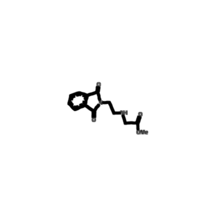 COC(=O)CNCCN1C(=O)c2ccccc2C1=O